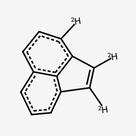 [2H]C1=C([2H])c2c([2H])ccc3cccc1c23